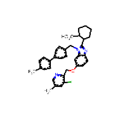 Cc1cnc(COc2ccc3nc(C4CCCCC4C(=O)O)n(Cc4ccc(-c5ccc(C(F)(F)F)cc5)cc4)c3c2)c(F)c1